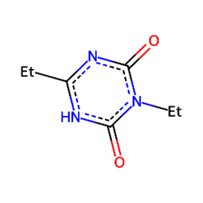 CCc1nc(=O)n(CC)c(=O)[nH]1